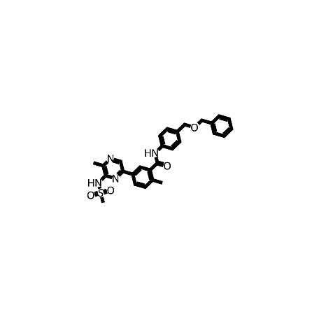 Cc1ccc(-c2cnc(C)c(NS(C)(=O)=O)n2)cc1C(=O)Nc1ccc(COCc2ccccc2)cc1